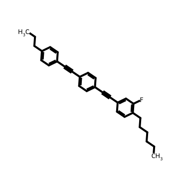 CCCCCCc1ccc(C#Cc2ccc(C#Cc3ccc(CCC)cc3)cc2)cc1F